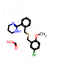 COc1ccc(Br)cc1CSCc1ccccc1C1=NCCCN1.O=CO